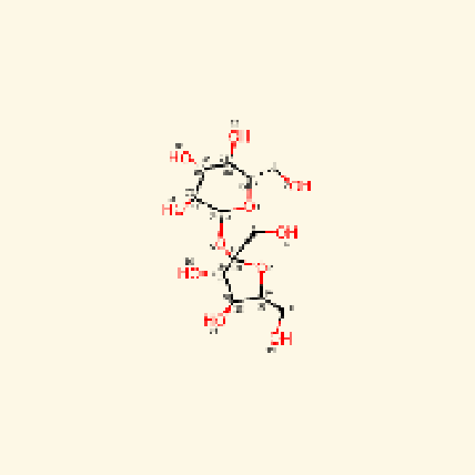 OC[C@@H]1O[C@@H](O[C@]2(CO)O[C@@H](CO)[C@@H](O)[C@@H]2O)[C@@H](O)[C@H](O)[C@H]1O